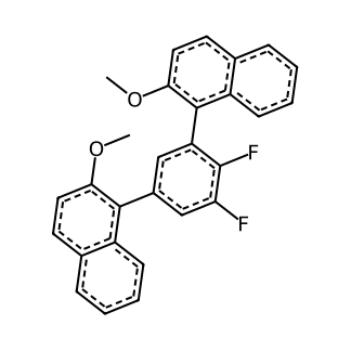 COc1ccc2ccccc2c1-c1cc(F)c(F)c(-c2c(OC)ccc3ccccc23)c1